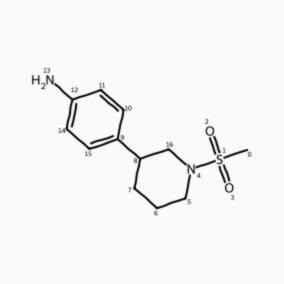 CS(=O)(=O)N1CCCC(c2ccc(N)cc2)C1